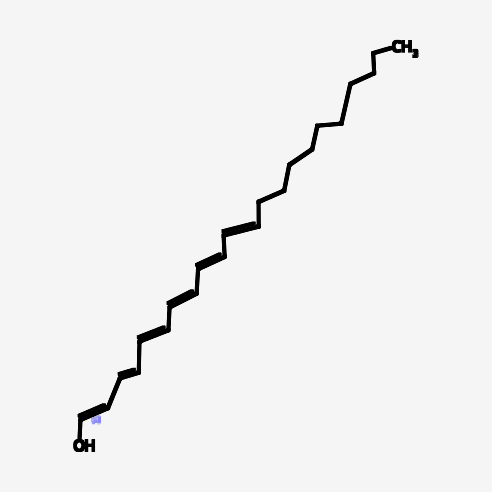 CCCCCCCCCCC=CC=CC=CC=CC=C/C=C/O